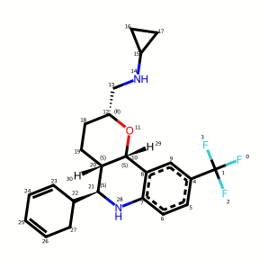 FC(F)(F)c1ccc2c(c1)[C@H]1O[C@@H](CNC3CC3)CC[C@H]1[C@H](C1C=CC=CC1)N2